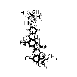 CCS(=O)(=O)c1c(C)cc(Cl)cc1Cn1c(=O)[nH]c2c(Cl)c(CN3CCC[C@@H](NC(=O)OC(C)(C)C)C3)c(C(F)(F)F)cc2c1=O